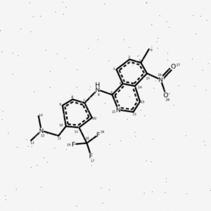 Cc1ccc2c(Nc3ccc(CN(C)C)c(C(F)(F)F)c3)nccc2c1[N+](=O)[O-]